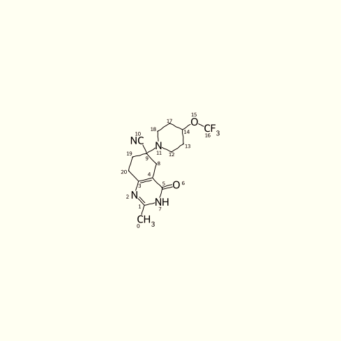 Cc1nc2c(c(=O)[nH]1)CC(C#N)(N1CCC(OC(F)(F)F)CC1)CC2